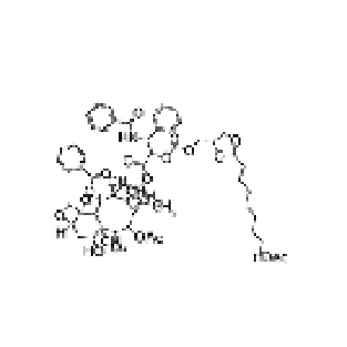 CCCCCCCCCCCCCCCCCC1OC[C@@H](COC(=O)O[C@@H](C(=O)O[C@H]2C[C@@]3(O)[C@@H](OC(=O)c4ccccc4)C4[C@]5(O)CO[C@@H]5C[C@H](O)[C@@]4(C)C(=O)[C@H](OC(C)=O)C(=C2C)C3(C)C)[C@@H](NC(=O)c2ccccc2)c2ccccc2)O1